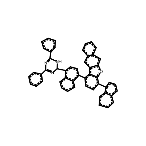 c1ccc(C2=NC(c3ccc(-c4ccc(-c5cccc6ccccc56)c5oc6cc7ccccc7cc6c45)c4ccccc34)NC(c3ccccc3)=N2)cc1